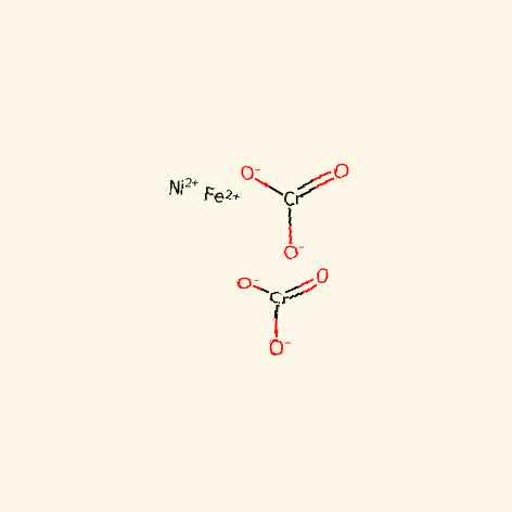 [Fe+2].[Ni+2].[O]=[Cr]([O-])[O-].[O]=[Cr]([O-])[O-]